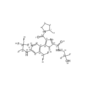 CC1CCCN1C(=O)c1nc(C(=O)NCC(C)(C)O)sc1-c1cnc(NC(C)C(F)(F)F)cc1C(F)F